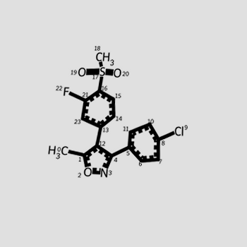 Cc1onc(-c2ccc(Cl)cc2)c1-c1ccc(S(C)(=O)=O)c(F)c1